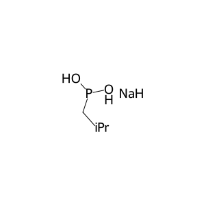 CC(C)CP(O)O.[NaH]